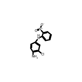 Nc1ccc(Nc2ccccc2[N+](=O)[O-])cc1Cl